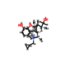 CC(C)(O)[C@H]1C[C@@]23C=C[C@]1(C)[C@@H]1Oc4c(O)ccc5c4[C@@]12CCN(CC1CC1)[C@@H]3C5